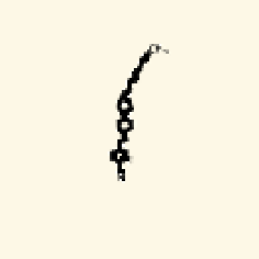 CCCCCCCCCCC1CCC(C2CC=C(CCc3ccc(C#N)c(F)c3)CC2)CC1